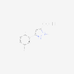 Cc1cccc(-c2cc(C(=O)O)n(C)n2)c1